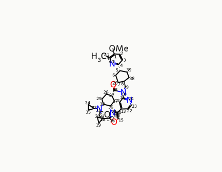 COc1ccc([C@H]2CC[C@H](CN(c3cc(-c4coc(C5CC5)n4)ccn3)C(=O)[C@H]3CC[C@H](N(C(=O)O)C4CC4)CC3)CC2)nc1C